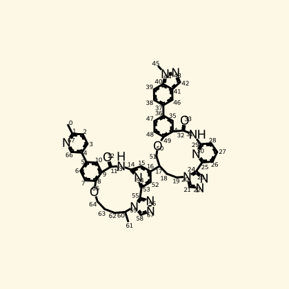 Cc1ccc(-c2ccc3c(c2)C(=O)Nc2cc(C4CCn5cnnc5-c5cccc(n5)NC(=O)c5cc(-c6ccc7c(cnn7C)c6)ccc5OC4)cc(n2)-c2nncn2C(C)CCCO3)cn1